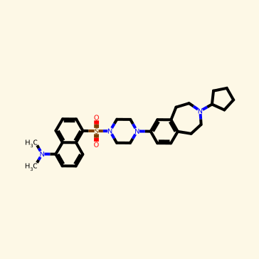 CN(C)c1cccc2c(S(=O)(=O)N3CCN(c4ccc5c(c4)CCN(C4CCCC4)CC5)CC3)cccc12